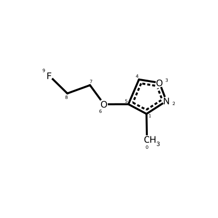 Cc1nocc1OCCF